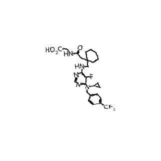 O=C(O)CNC(=O)CC1(CNc2ncnc(N(Cc3ccc(C(F)(F)F)cc3)C3CC3)c2F)CCCCC1